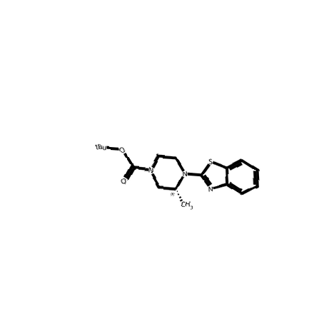 C[C@@H]1CN(C(=O)OC(C)(C)C)CCN1c1nc2ccccc2s1